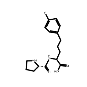 O=C(O)C(CCCc1ccc(F)cc1)NC(=O)[C@@H]1CCCN1